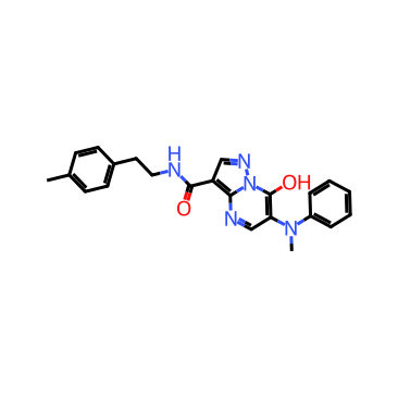 Cc1ccc(CCNC(=O)c2cnn3c(O)c(N(C)c4ccccc4)cnc23)cc1